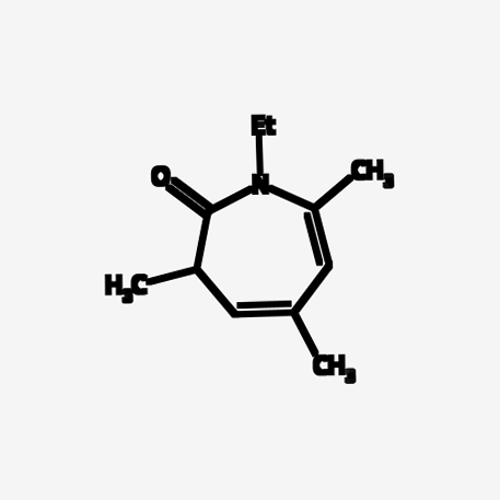 CCN1C(=O)C(C)C=C(C)C=C1C